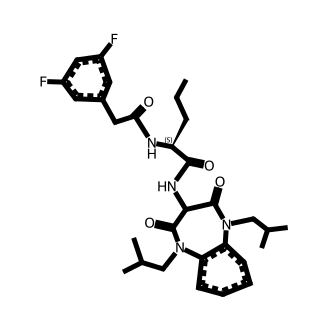 CCC[C@H](NC(=O)Cc1cc(F)cc(F)c1)C(=O)NC1C(=O)N(CC(C)C)c2ccccc2N(CC(C)C)C1=O